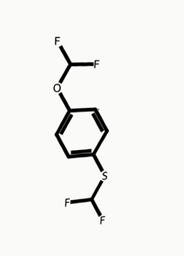 FC(F)Oc1[c]cc(SC(F)F)cc1